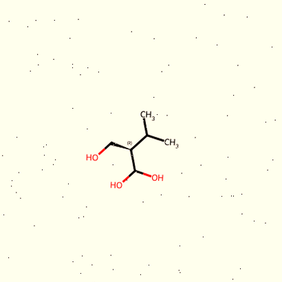 CC(C)[C@H](CO)C(O)O